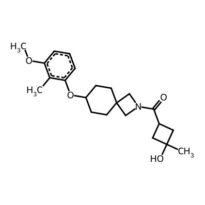 COc1cccc(OC2CCC3(CC2)CN(C(=O)C2CC(C)(O)C2)C3)c1C